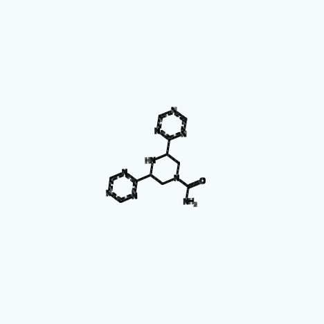 NC(=O)N1CC(c2ncncn2)NC(c2ncncn2)C1